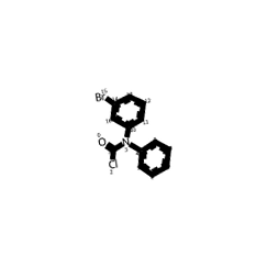 O=C(Cl)N(c1ccccc1)c1cccc(Br)c1